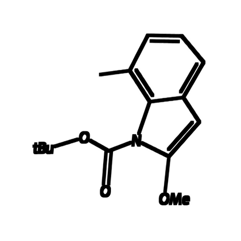 COc1cc2cccc(C)c2n1C(=O)OC(C)(C)C